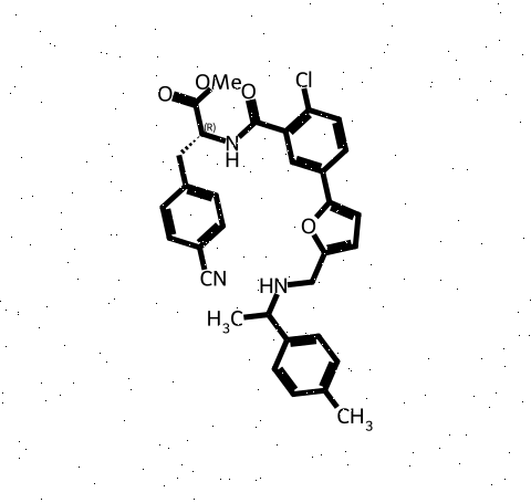 COC(=O)[C@@H](Cc1ccc(C#N)cc1)NC(=O)c1cc(-c2ccc(CNC(C)c3ccc(C)cc3)o2)ccc1Cl